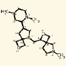 CN1CCN(C)C(C2CN(CC3OCC34CCN(C)C4)C3(COC3)C2)C1